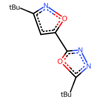 CC(C)(C)c1cc(-c2nnc(C(C)(C)C)o2)on1